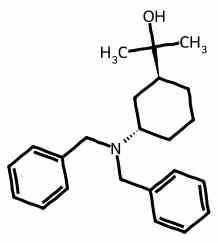 CC(C)(O)[C@H]1CCC[C@H](N(Cc2ccccc2)Cc2ccccc2)C1